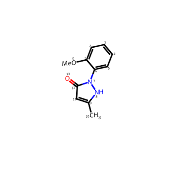 COc1ccccc1-n1[nH]c(C)cc1=O